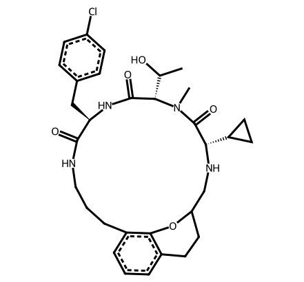 CC(O)[C@H]1C(=O)N[C@H](Cc2ccc(Cl)cc2)C(=O)NCCCc2cccc3c2OC(CC3)CN[C@@H](C2CC2)C(=O)N1C